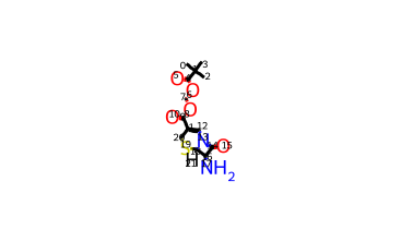 CC(C)(C)C(=O)OCOC(=O)C1=CN2C(=O)C(N)[C@H]2SC1